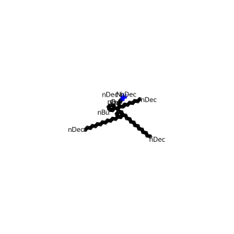 CCCCCCCCCCCCCCCCC=CC(C(=C=[N+]=[N-])CC)=C(c1cc(CCCC)cc(CCCC)c1)c1cc(CCCCCCCCCCCCCCCCCCCCCCC)cc(CCCCCCCCCCCCCCCCCCCCCCC)c1.CCCCCCCCC[CH2][Ni][CH2]CCCCCCCCC